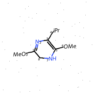 COC1=NC(C(C)C)=C(OC)NC1